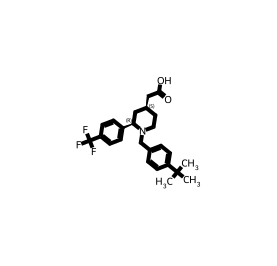 CC(C)(C)c1ccc(CN2CC[C@H](CC(=O)O)C[C@@H]2c2ccc(C(F)(F)F)cc2)cc1